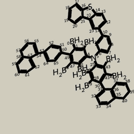 Bc1c(B)c(N(c2cccc(-c3ccc4sc5ccccc5c4c3)c2)c2c(B)c(B)c(-c3cccc4c3C=CCC4)c(B)c2B)c(B)c(B)c1-c1ccc(-c2cccc3ccccc23)cc1